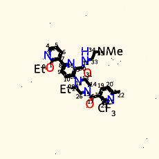 CCOc1ncccc1-c1ccc(N2CCN(C(=O)c3ccc(C)nc3C(F)(F)F)C[C@H]2CC)c(C(=O)NCCNC)n1